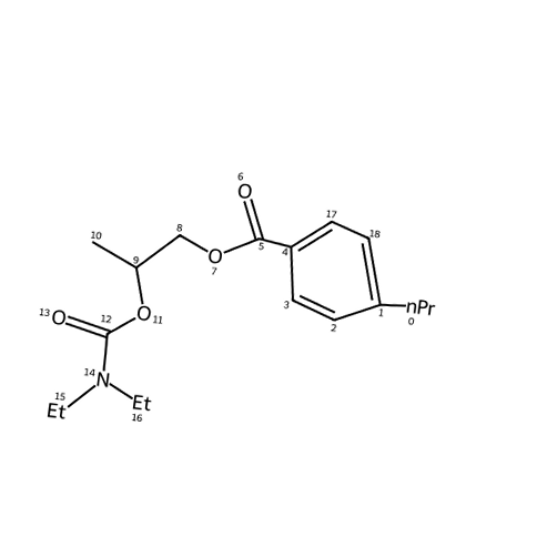 CCCc1ccc(C(=O)OCC(C)OC(=O)N(CC)CC)cc1